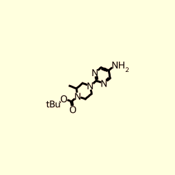 CC1CN(c2ncc(N)cn2)CCN1C(=O)OC(C)(C)C